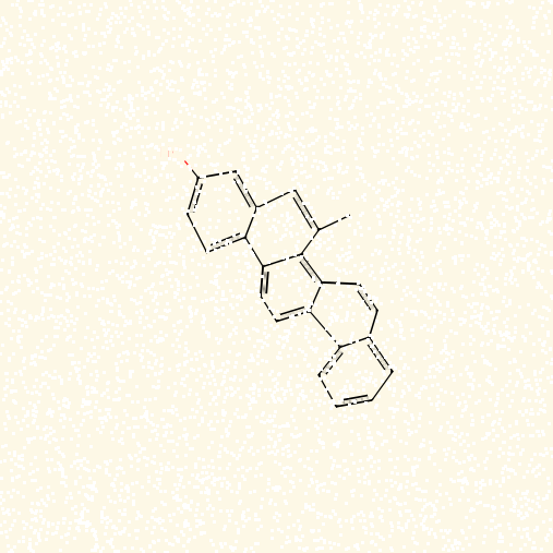 Cc1cc2cc(O)ccc2c2ccc3c4ccccc4ccc3c12